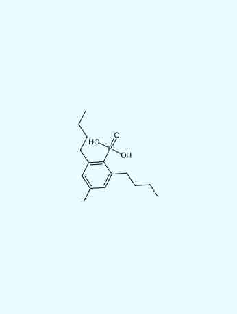 [CH2]c1cc(CCCC)c(P(=O)(O)O)c(CCCC)c1